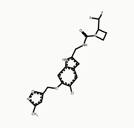 Cc1cc(COc2cc3[nH]c(CNC(=O)N4CCC4C(F)F)cc3cc2Cl)on1